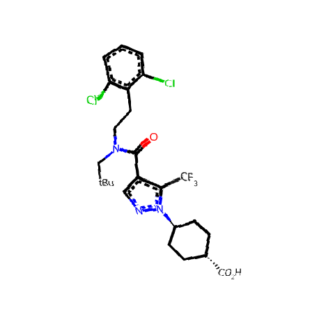 CC(C)(C)CN(CCc1c(Cl)cccc1Cl)C(=O)c1cnn([C@H]2CC[C@H](C(=O)O)CC2)c1C(F)(F)F